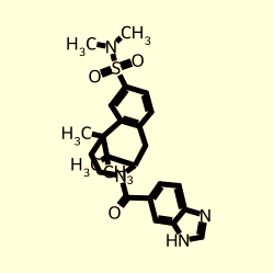 CN(C)S(=O)(=O)c1ccc2c(c1)C1(C)CCN(C(=O)c3ccc4nc[nH]c4c3)C(C2)C1(C)C